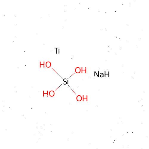 O[Si](O)(O)O.[NaH].[Ti]